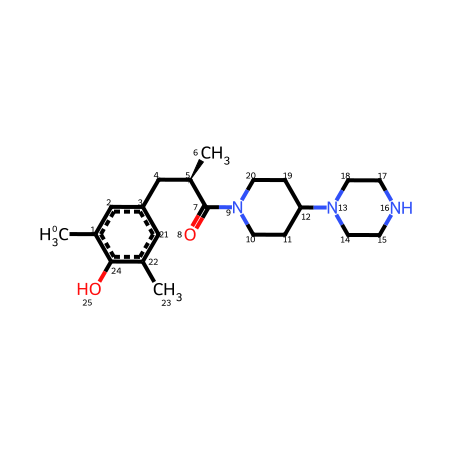 Cc1cc(C[C@@H](C)C(=O)N2CCC(N3CCNCC3)CC2)cc(C)c1O